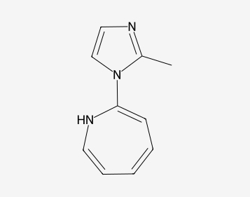 Cc1nccn1C1=CC=CC=CN1